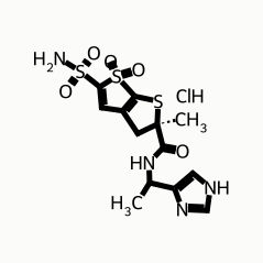 CC(NC(=O)[C@@]1(C)CC2=C(S1)S(=O)(=O)C(S(N)(=O)=O)=C2)c1c[nH]cn1.Cl